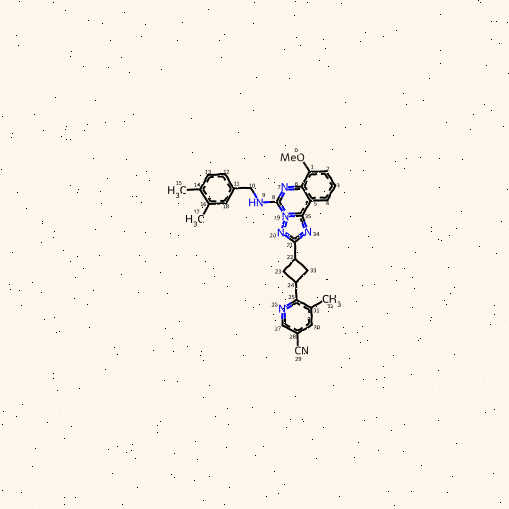 COc1cccc2c1nc(NCc1ccc(C)c(C)c1)n1nc(C3CC(c4ncc(C#N)cc4C)C3)nc21